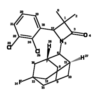 CC1(C)C(=O)N(C2[C@@H]3CC4C[C@H]2CC(F)(C4)C3)C1c1cccc(Cl)c1Cl